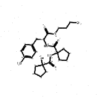 CCCCOC(=O)[C@H](Cc1ccc(O)cc1)NC(=O)C1(NC(=O)C2(S)CCCC2)CCCC1